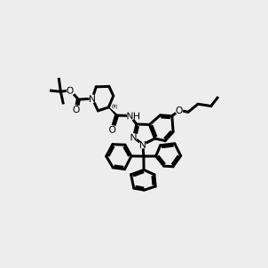 CCCCOc1ccc2c(c1)c(NC(=O)[C@@H]1CCCN(C(=O)OC(C)(C)C)C1)nn2C(c1ccccc1)(c1ccccc1)c1ccccc1